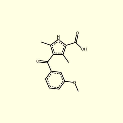 COc1cccc(C(=O)c2c(C)[nH]c(C(=O)O)c2C)c1